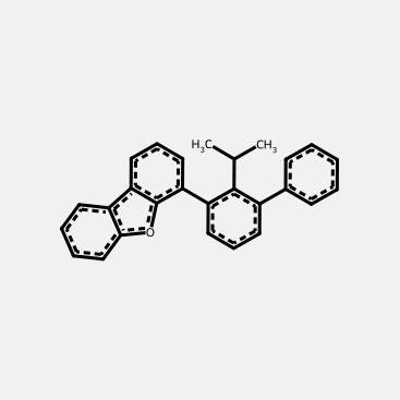 CC(C)c1c(-c2ccccc2)cccc1-c1cccc2c1oc1ccccc12